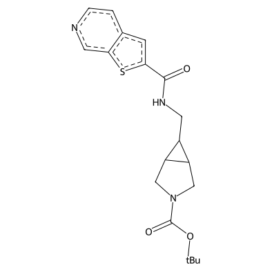 CC(C)(C)OC(=O)N1CC2C(CNC(=O)c3cc4ccncc4s3)C2C1